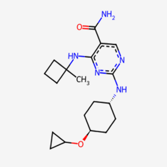 CC1(Nc2nc(N[C@H]3CC[C@H](OC4CC4)CC3)ncc2C(N)=O)CCC1